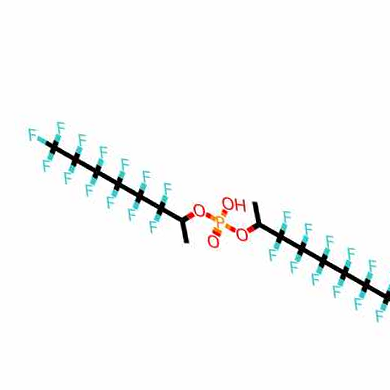 CC(OP(=O)(O)OC(C)C(F)(F)C(F)(F)C(F)(F)C(F)(F)C(F)(F)C(F)(F)F)C(F)(F)C(F)(F)C(F)(F)C(F)(F)C(F)(F)C(F)(F)F